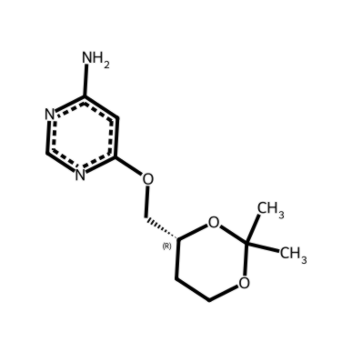 CC1(C)OCC[C@H](COc2cc(N)ncn2)O1